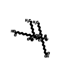 CCCCCCCCC(C(CCCCCCCC(=O)O)[N+](=O)[O-])C(C)(C)SC(C)(C)C(CCCCCCCC)C(CCCCCCCC(=O)O)[N+](=O)[O-]